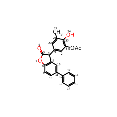 CC(=O)Oc1cc(C2C(=O)Oc3ccc(-c4ccccc4)cc32)cc(C)c1O